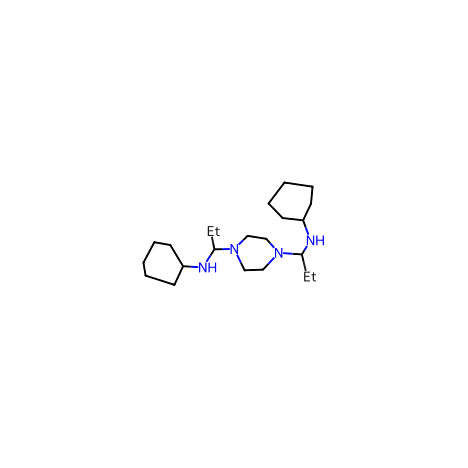 CCC(NC1CCCCC1)N1CCN(C(CC)NC2CCCCC2)CC1